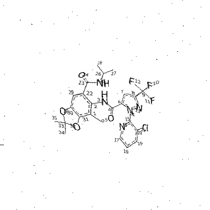 Cc1c(NC(=O)c2cc(C(F)(F)F)nn2-c2ncccc2Cl)c(C(=O)NC(C)C)cc2c1OC(C)(C)O2